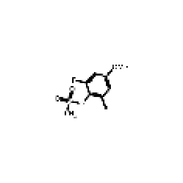 COc1cc(F)c(OS(C)(=O)=O)c(F)c1